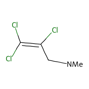 CNCC(Cl)=C(Cl)Cl